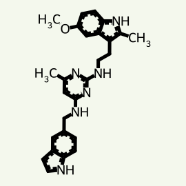 COc1ccc2[nH]c(C)c(CCNc3nc(C)cc(NCc4ccc5[nH]ccc5c4)n3)c2c1